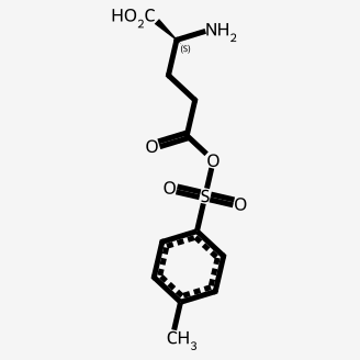 Cc1ccc(S(=O)(=O)OC(=O)CC[C@H](N)C(=O)O)cc1